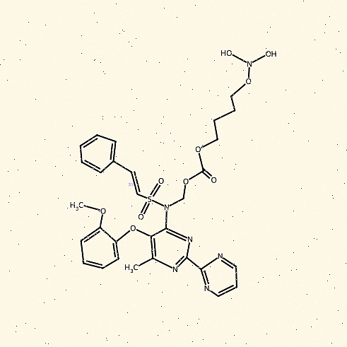 COc1ccccc1Oc1c(C)nc(-c2ncccn2)nc1N(COC(=O)OCCCCON(O)O)S(=O)(=O)/C=C/c1ccccc1